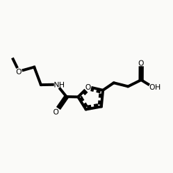 COCCNC(=O)c1ccc(CCC(=O)O)o1